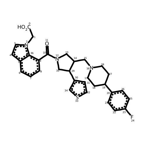 O=C(O)Cn1ccc2cccc(C(=O)N3CC(CN4CCC(c5ccc(F)cc5)CC4)C(c4ccsc4)C3)c21